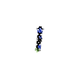 Cc1ccc(C)n1-c1ncc(-c2ccc([C@](C)(c3ccc(-c4ccc(C(F)(F)F)nn4)cc3)C(C)C)nc2)cn1